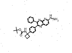 CC(C)(C)OC(=O)NC1(c2ccc(-c3nc4ccc(NN)nc4nc3-c3ccccc3)cc2)CCC1